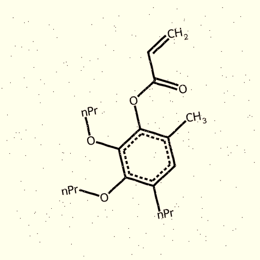 C=CC(=O)Oc1c(C)cc(CCC)c(OCCC)c1OCCC